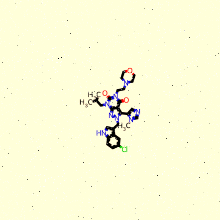 CC(C)Cn1c(=O)n(CCN2CCOCC2)c(=O)c2c(-c3cncn3C)n(Cc3c[nH]c4ccc(Cl)cc34)nc21